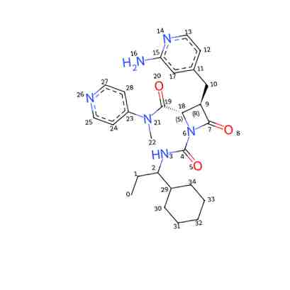 CCC(NC(=O)N1C(=O)[C@H](Cc2ccnc(N)c2)[C@H]1C(=O)N(C)c1ccncc1)C1CCCCC1